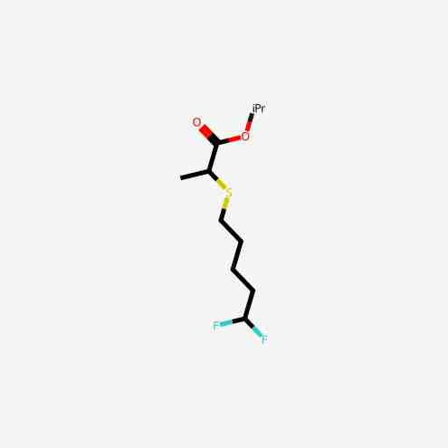 CC(C)OC(=O)C(C)SCCCCC(F)F